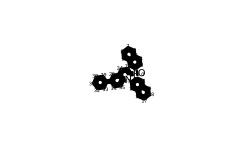 O=P(c1ccc2ccccc2c1)(c1ccc2ccccc2c1)c1ccc2cc(-c3ccccc3)ccc2n1